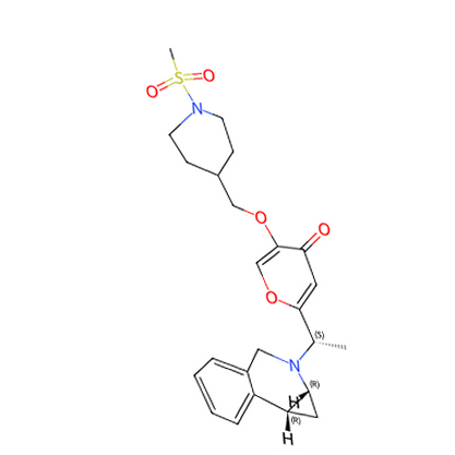 C[C@@H](c1cc(=O)c(OCC2CCN(S(C)(=O)=O)CC2)co1)N1Cc2ccccc2[C@H]2C[C@H]21